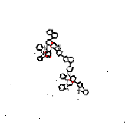 CC1(C)c2ccccc2-c2ccc(-c3ccc(N(c4ccc(-c5cccc6cc(-c7ccc8c(c7)sc7cccc(-c9ccccc9N(c9ccc(-c%10cccc%11ccccc%10%11)cc9)c9ccccc9-n9c%10ccccc%10c%10ccccc%109)c78)ccc56)cc4)c4ccccc4-c4cccc5sc6ccccc6c45)cc3)cc21